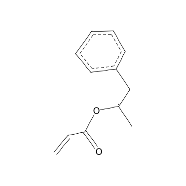 C=CC(=O)O[C](C)Cc1ccccc1